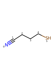 N#CCCCS